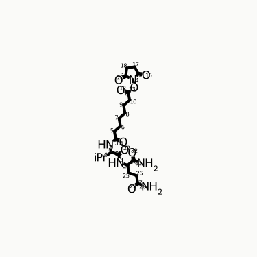 CC(C)C(NC(=O)CCCCCCC(=O)ON1C(=O)CCC1=O)C(=O)NC(CCC(N)=O)C(N)=O